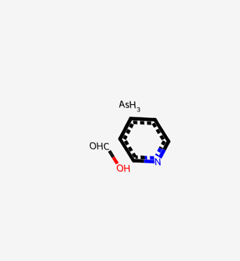 O=CO.[AsH3].c1ccncc1